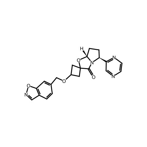 O=C1N2[C@@H](CC[C@H]2c2cnccn2)OC12CC(OCc1ccc3cnoc3c1)C2